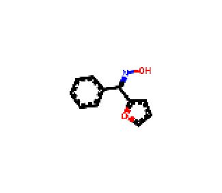 ON=C(c1ccccc1)c1ccco1